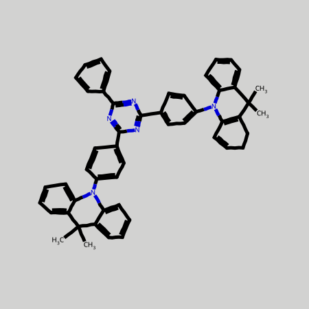 CC1(C)C2=C(C=CCC2)N(c2ccc(-c3nc(-c4ccccc4)nc(-c4ccc(N5c6ccccc6C(C)(C)c6ccccc65)cc4)n3)cc2)c2ccccc21